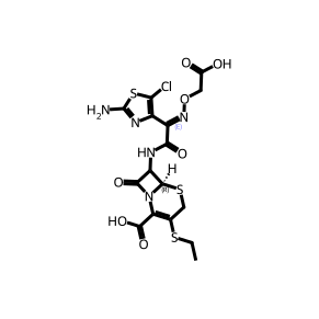 CCSC1=C(C(=O)O)N2C(=O)C(NC(=O)/C(=N/OCC(=O)O)c3nc(N)sc3Cl)[C@H]2SC1